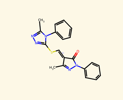 CC1=NN(c2ccccc2)C(=O)/C1=C/Sc1nnc(C)n1-c1ccccc1